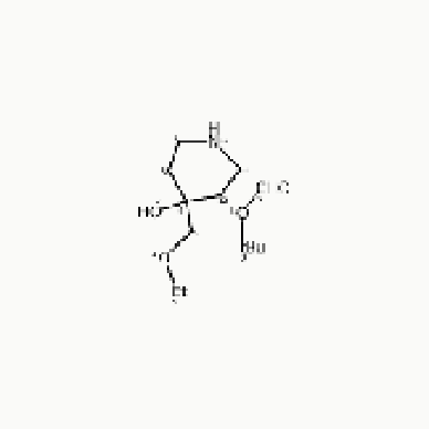 CC(C)(C)OC=O.CCOCC1(O)CCNCC1